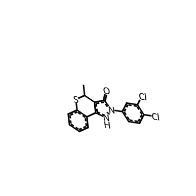 CC1Sc2ccccc2-c2[nH]n(-c3ccc(Cl)c(Cl)c3)c(=O)c21